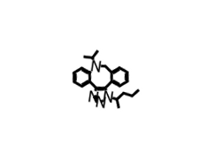 CCCC(C)n1nnc2c1-c1ccccc1CN(C(C)C)c1ccccc1-2